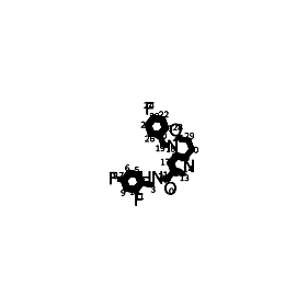 O=C(NCc1ccc(F)cc1F)c1cnc2c(c1)N(Cc1ccc(F)cc1)C(=O)CC2